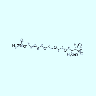 COP(=O)(CCCOCCOCCOCCOCCOC(C)=O)OC